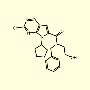 O=C(c1cc2cnc(Cl)nc2n1C1CCCC1)N(CCO)Cc1ccccc1